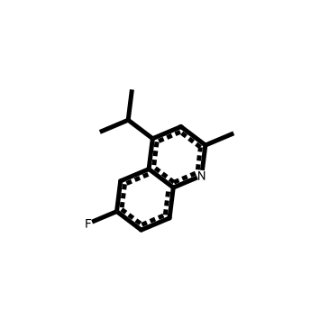 Cc1cc(C(C)C)c2cc(F)ccc2n1